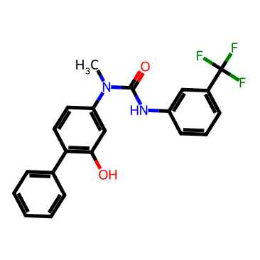 CN(C(=O)Nc1cccc(C(F)(F)F)c1)c1ccc(-c2ccccc2)c(O)c1